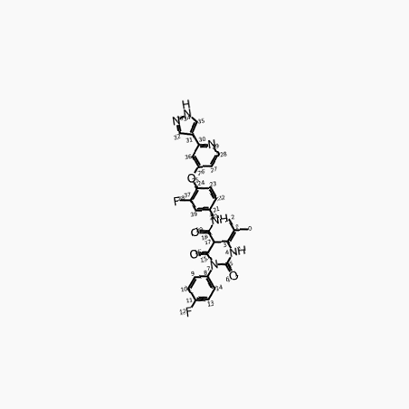 CC(C)=C1NC(=O)N(c2ccc(F)cc2)C(=O)C1C(=O)Nc1ccc(Oc2ccnc(-c3cn[nH]c3)c2)c(F)c1